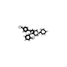 Clc1ccc(-c2cc3c(n2-c2ccccc2Cl)CCN(C2CCCCC2)C3)cc1